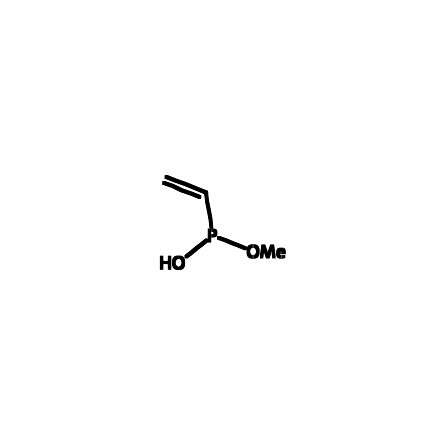 C=CP(O)OC